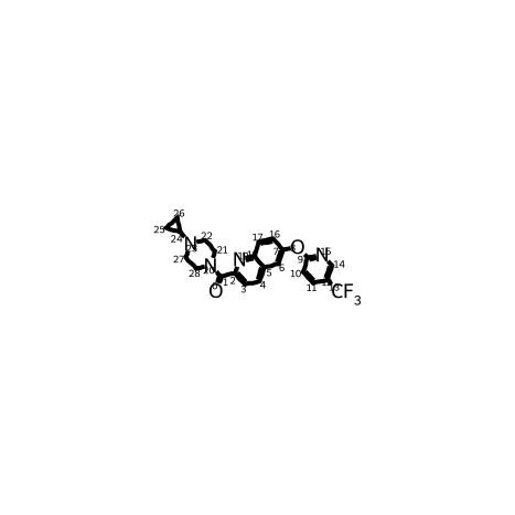 O=C(c1ccc2cc(Oc3ccc(C(F)(F)F)cn3)ccc2n1)N1CCN(C2CC2)CC1